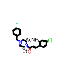 CC[C@@H]1CN(Cc2ccc(F)cc2)CCN1C(=O)C=Cc1ccc(Cl)cc1NC(C)=O